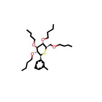 CCCCOC[C@H]1S[C@@H](c2cccc(C)c2)[C@H](OCCCC)[C@@H](OCCCC)[C@@H]1OCCCC